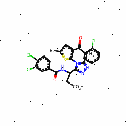 CCc1cc(C(=O)c2ccccc2Cl)c(-n2c(C)nnc2C(CC(=O)O)NC(=O)c2ccc(Cl)c(Cl)c2)s1